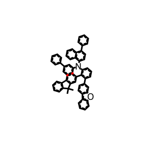 CC1(C)c2ccccc2-c2ccc(-c3c(-c4ccc5c(c4)oc4ccccc45)cccc3N(c3cccc(-c4ccccc4)c3)c3ccc(-c4ccccc4)c4ccccc34)cc21